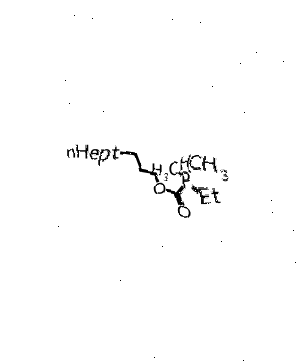 CCCCCCCCCCOC(=O)[PH](C)(C)CC